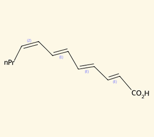 CCC\C=C/C=C/C=C/C=C/C(=O)O